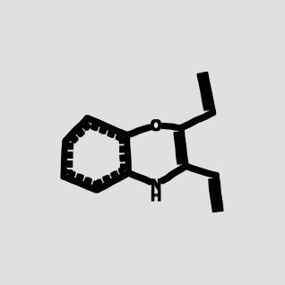 C=CC1=C(C=C)Oc2ccccc2N1